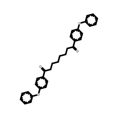 O=C(CCCCCCC(=O)c1ccc(Oc2ccccc2)cc1)c1ccc(Oc2ccccc2)cc1